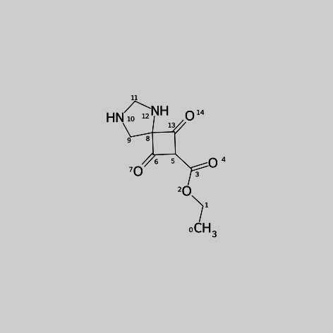 CCOC(=O)C1C(=O)C2(CNCN2)C1=O